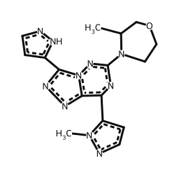 CC1COCCN1c1nc(-c2ccnn2C)c2nnc(-c3ccn[nH]3)n2n1